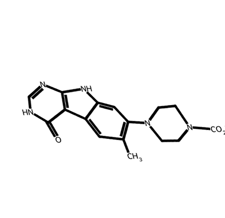 Cc1cc2c(cc1N1CCN(C(=O)O)CC1)[nH]c1nc[nH]c(=O)c12